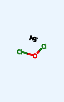 ClOCl.[Ag]